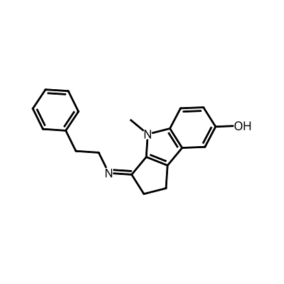 Cn1c2c(c3cc(O)ccc31)CCC2=NCCc1ccccc1